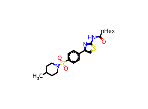 CCCCCCC(=O)Nc1nc(-c2ccc(S(=O)(=O)N3CCC(C)CC3)cc2)cs1